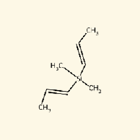 CC=C[Si](C)(C)C=CC